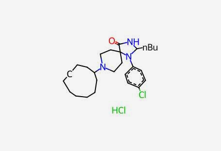 CCCCC1NC(=O)C2(CCN(C3CCCCCCCCC3)CC2)N1c1ccc(Cl)cc1.Cl